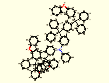 c1ccc(N(c2ccc3c(c2)C(c2ccccc2)(c2ccccc2)c2cc4c(cc2-3)C(c2ccccc2)(c2ccccc2)c2ccc3oc5ccccc5c3c2-4)c2ccc3c(c2)C(c2ccccc2)(c2ccccc2)c2c4c(c5oc6ccccc6c5c2-3)-c2ccccc2C4(c2ccccc2)c2ccccc2)cc1